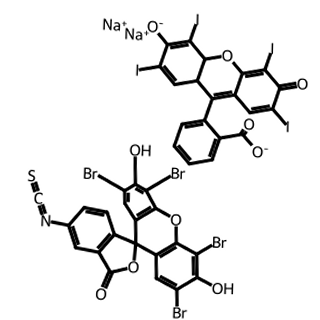 O=C1C(I)=CC2=C(c3ccccc3C(=O)[O-])C3C=C(I)C([O-])=C(I)C3OC2=C1I.O=C1OC2(c3ccc(N=C=S)cc31)c1cc(Br)c(O)c(Br)c1Oc1c2cc(Br)c(O)c1Br.[Na+].[Na+]